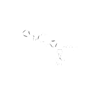 CCCOC(=O)N1C[C@H](CC(=O)O)[C@H](c2cccc(OCCc3nc(-c4ccccc4)oc3C)c2)C1